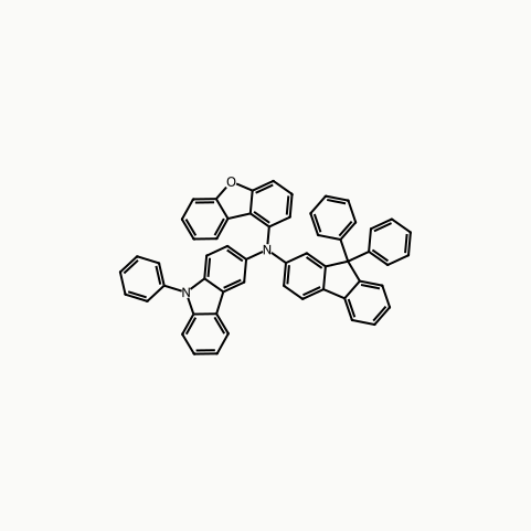 c1ccc(-n2c3ccccc3c3cc(N(c4ccc5c(c4)C(c4ccccc4)(c4ccccc4)c4ccccc4-5)c4cccc5oc6ccccc6c45)ccc32)cc1